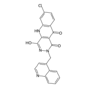 O=c1c2ccc(Cl)cc2[nH]c2c(O)nn(Cc3ccnc4ccccc34)c(=O)c12